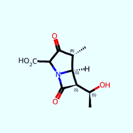 C[C@H](O)[C@H]1C(=O)N2C(C(=O)O)C(=O)[C@H](C)[C@@H]12